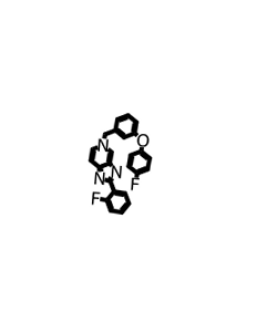 Fc1ccc(Oc2cccc(Cn3ccc4nc(-c5ccccc5F)nc-4c3)c2)cc1